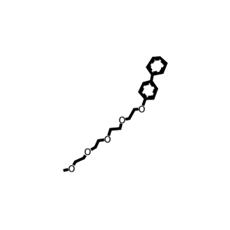 COCCOCCOCCOCCOc1ccc(-c2ccccc2)cc1